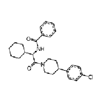 O=C(N[C@@H](C(=O)N1CCC(c2ccc(Cl)cc2)CC1)C1CCCCC1)c1ccccc1